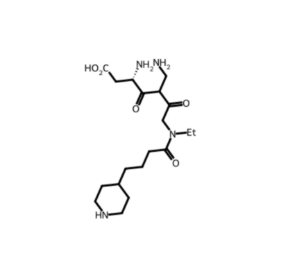 CCN(CC(=O)C(CN)C(=O)[C@@H](N)CC(=O)O)C(=O)CCCC1CCNCC1